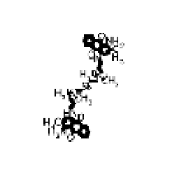 Cc1cc(NCCC[N+](C)(C)CCSSCC[N+](C)(C)CCCNc2cc(C)c(N)c3c2C(=O)c2ccccc2C3=O)c2c(c1N)C(=O)c1ccccc1C2=O